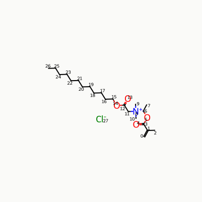 C=C(C)C(=O)OC(C)[N+](C)(C)CC(=O)OCCCCCCCCCCCC.[Cl-]